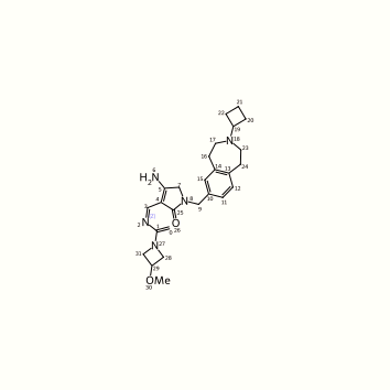 C=C(/N=C\C1=C(N)CN(Cc2ccc3c(c2)CCN(C2CCC2)CC3)C1=O)N1CC(OC)C1